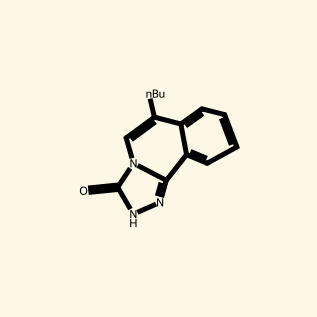 CCCCc1cn2c(=O)[nH]nc2c2ccccc12